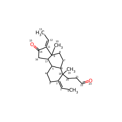 C/C=C1/CCC2C(CCC3(C)/C(=C/C)C(=O)CC23)C1(C)CCC=O